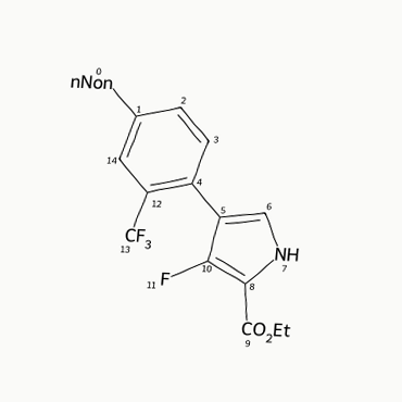 CCCCCCCCCc1ccc(-c2c[nH]c(C(=O)OCC)c2F)c(C(F)(F)F)c1